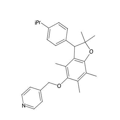 Cc1c(C)c2c(c(C)c1OCc1ccncc1)C(c1ccc(C(C)C)cc1)C(C)(C)O2